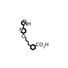 O=C(O)c1cccc(CCCCOc2ccc(-c3ccn[nH]3)nc2)c1